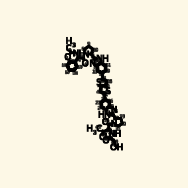 CC(=O)N[C@@H](C(=O)N1CCCC1c1nc2cc(-c3cc4sc(-c5ccc6[nH]c(C7CCCN7C(=O)[C@@H](NC(=O)CO)C(C)C)nc6c5)cc4s3)ccc2[nH]1)c1ccccc1